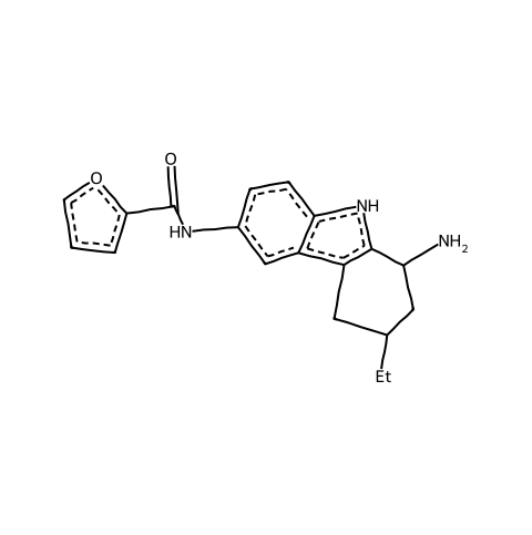 CCC1Cc2c([nH]c3ccc(NC(=O)c4ccco4)cc23)C(N)C1